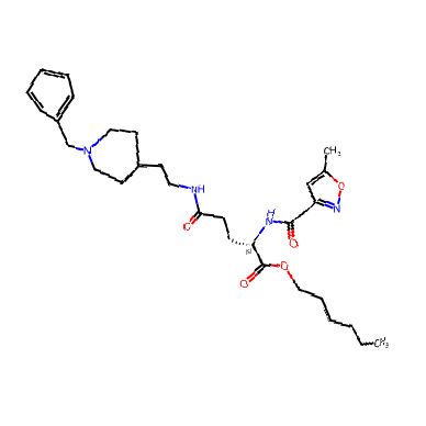 CCCCCCOC(=O)[C@H](CCC(=O)NCCC1CCN(Cc2ccccc2)CC1)NC(=O)c1cc(C)on1